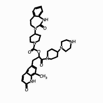 Cc1cc(CC(OC(=O)N2CCC(N3CCc4ccccc4NC3=O)CC2)C(=O)N2CCC(N3CCNCC3)CC2)cc2ccc(=O)[nH]c12